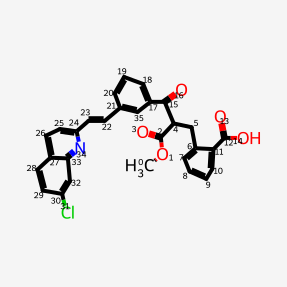 COC(=O)C(Cc1ccccc1C(=O)O)C(=O)c1cccc(C=Cc2ccc3ccc(Cl)cc3n2)c1